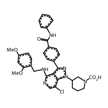 COc1ccc(CNc2ncc(Cl)c3c2c(-c2ccc(C(=O)Nc4ccccc4)cc2)nn3C2CCCN(C(=O)O)C2)c(OC)c1